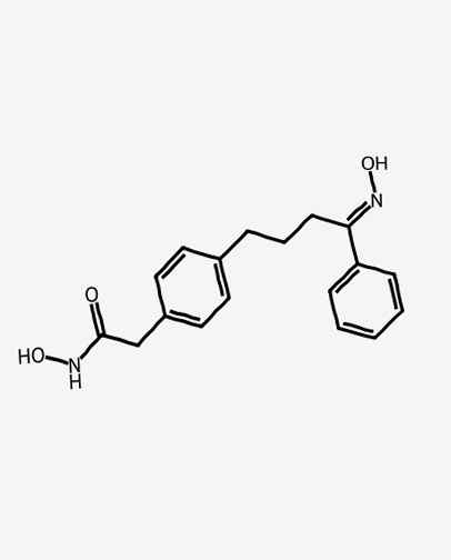 O=C(Cc1ccc(CCC/C(=N\O)c2ccccc2)cc1)NO